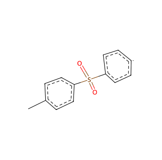 Cc1ccc(S(=O)(=O)c2cc[c]cc2)cc1